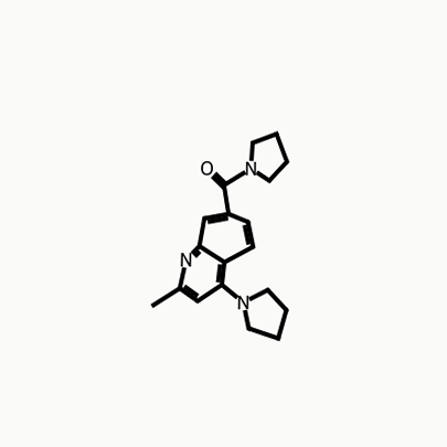 Cc1cc(N2CCCC2)c2ccc(C(=O)N3CCCC3)cc2n1